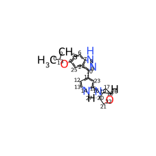 CC(C)Oc1ccc2[nH]nc(-c3ccnc(N4C[C@@H]5C[C@H]4CO5)c3)c2c1